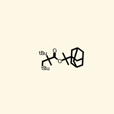 CC(C)(C)CC(C)(C(=O)OC(C)(C)C12CC3CC(CC(C3)C1)C2)C(C)(C)C